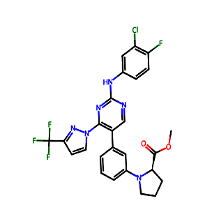 COC(=O)[C@H]1CCCN1c1cccc(-c2cnc(Nc3ccc(F)c(Cl)c3)nc2-n2ccc(C(F)(F)F)n2)c1